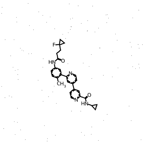 Cc1ccc(NC(=O)CCC2(F)CC2)cc1-c1cc(-c2ccnc(C(=O)NC3CC3)c2)ccn1